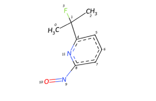 CC(C)(F)c1cccc(N=O)n1